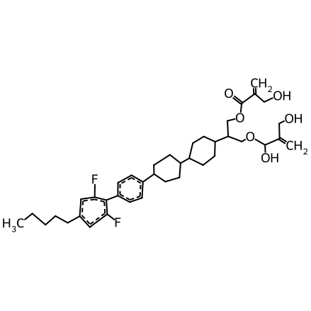 C=C(CO)C(=O)OCC(COC(O)C(=C)CO)C1CCC(C2CCC(c3ccc(-c4c(F)cc(CCCCC)cc4F)cc3)CC2)CC1